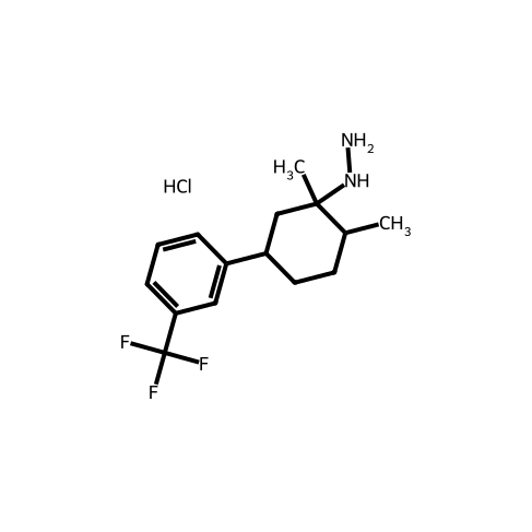 CC1CCC(c2cccc(C(F)(F)F)c2)CC1(C)NN.Cl